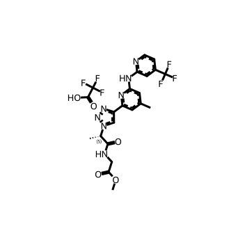 COC(=O)CNC(=O)[C@H](C)n1cc(-c2cc(C)cc(Nc3cc(C(F)(F)F)ccn3)n2)nn1.O=C(O)C(F)(F)F